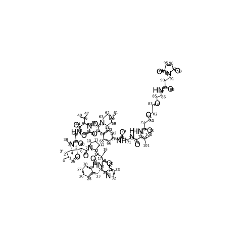 CC[C@H](C)[C@@H]([C@@H](CC(=O)N1CCC[C@H]1[C@H](OC)[C@@H](C)C(=O)N[C@@H](Cc1ccccc1)c1nccs1)OC)N(C)C(=O)CNC(=O)C(C(C)C)N(C)C(=O)OC(C(=O)N1CCN(C)CC1)c1ccc(NC(=O)CNC(=O)C(NC(=O)CCOCCOCCNC(=O)CCN2C(=O)C=CC2=O)C(C)C)cc1